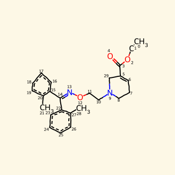 CCOC(=O)C1=CCCN(CCON=C(c2ccccc2C)c2ccccc2C)C1